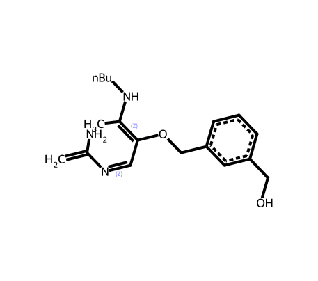 C=C(N)/N=C\C(OCc1cccc(CO)c1)=C(/C)NCCCC